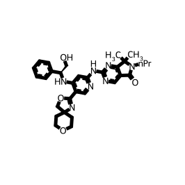 CCCN1C(=O)c2cnc(Nc3cc(N[C@H](CO)c4ccccc4)c(C4=NC5(CCOCC5)CO4)cn3)nc2C1(C)C